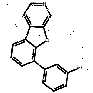 [2H]c1cccc(-c2cccc3c2oc2cnccc23)c1